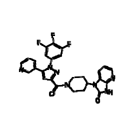 O=C(c1cc(-c2cccnc2)n(-c2cc(F)c(F)c(F)c2)n1)N1CCC(n2c(=O)[nH]c3ncccc32)CC1